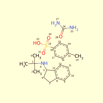 CC(C)(C)NC1CCc2ccccc21.Cc1ccc(S(=O)(=O)O)cc1.NC(N)=O